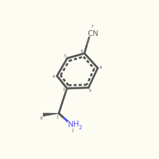 C[C@H](N)c1ccc(C#N)cc1